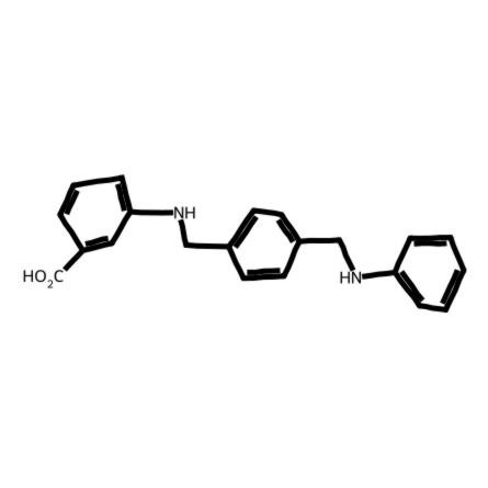 O=C(O)c1cccc(NCc2ccc(CNc3ccccc3)cc2)c1